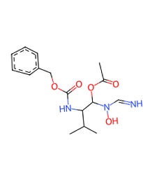 CC(=O)OC(C(NC(=O)OCc1ccccc1)C(C)C)N(O)C=N